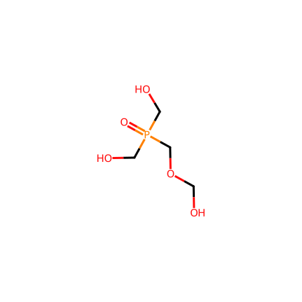 O=P(CO)(CO)COCO